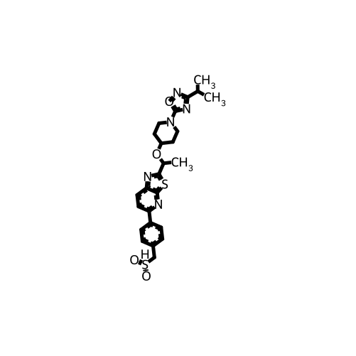 CC(C)c1noc(N2CCC(OC(C)c3nc4ccc(-c5ccc(C[SH](=O)=O)cc5)nc4s3)CC2)n1